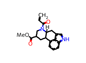 C=CC(=O)N1CC(C(=O)OC)CC2c3cccc4[nH]cc(c34)C[C@H]21